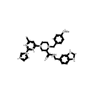 COc1ccc(CN2CCN(c3cc(C)nc(-n4ccnc4)n3)CC2C(=O)NCc2ccc3c(c2)OCO3)cc1